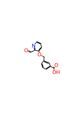 O=Cc1ncccc1OCc1cccc(C(=O)O)c1